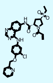 C=CC(=O)N1C[C@H](S(=O)(=O)CC)C[C@H]1C(=O)Nc1ccc2ncnc(Nc3ccc(OCc4ccccn4)c(Cl)c3)c2c1